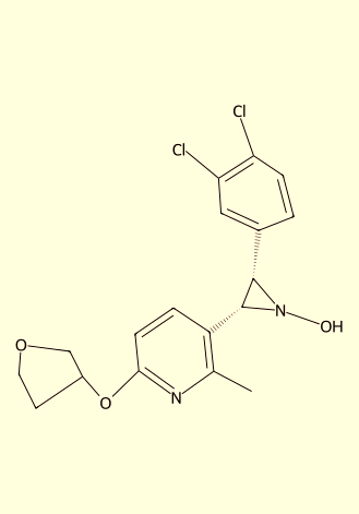 Cc1nc(OC2CCOC2)ccc1[C@@H]1[C@H](c2ccc(Cl)c(Cl)c2)N1O